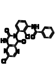 O=C(Nc1cccc(-n2c(=O)[nH]c3nc(Cl)cnc3c2=O)c1Cl)c1ccccc1